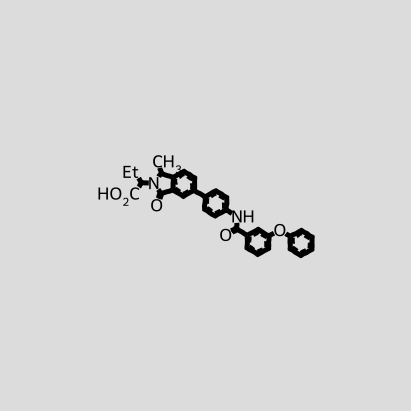 CCC(C(=O)O)N1C(=O)c2cc(-c3ccc(NC(=O)c4cccc(Oc5ccccc5)c4)cc3)ccc2C1C